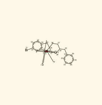 CN1C(=O)C2(NC1=S)c1cc(Br)ccc1CC21CCC(Cc2ccccc2)CC1